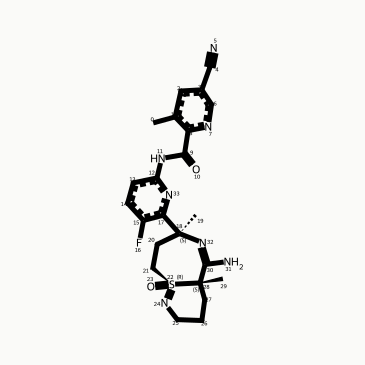 Cc1cc(C#N)cnc1C(=O)Nc1ccc(F)c([C@]2(C)CC[S@]3(=O)=NCCC[C@@]3(C)C(N)=N2)n1